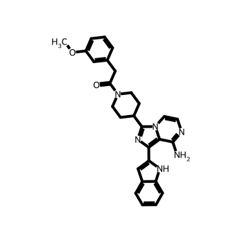 COc1cccc(CC(=O)N2CCC(c3nc(-c4cc5ccccc5[nH]4)c4c(N)nccn34)CC2)c1